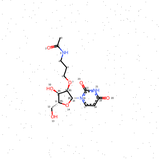 CC(=O)NCCCO[C@@H]1[C@H](O)[C@@H](CO)O[C@H]1n1ccc(=O)[nH]c1=O